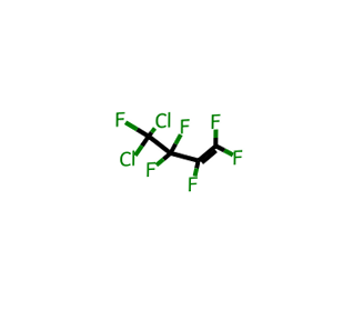 FC(F)=C(F)C(F)(F)C(F)(Cl)Cl